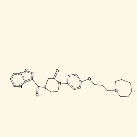 O=C(c1cnn2cccnc12)N1CCN(c2ccc(OCCCN3CCCCCC3)cc2)C(=O)C1